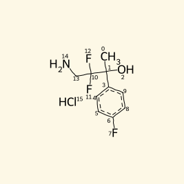 CC(O)(c1ccc(F)cc1)C(F)(F)CN.Cl